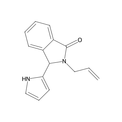 C=CCN1C(=O)c2ccccc2C1c1ccc[nH]1